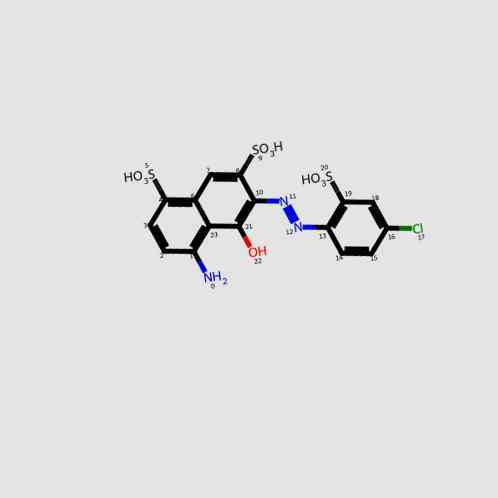 Nc1ccc(S(=O)(=O)O)c2cc(S(=O)(=O)O)c(N=Nc3ccc(Cl)cc3S(=O)(=O)O)c(O)c12